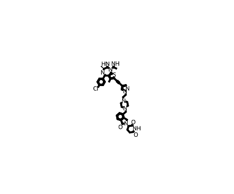 CC(=N)N1C(=N)[C@H](C)N=C(c2ccc(Cl)cc2)c2c1sc(C#Cc1cnn(CCN3CCN(Cc4cccc5c4CN(C4CCC(=O)NC4=O)C5=O)CC3)c1)c2C